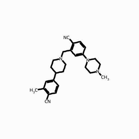 Cc1cc(C2CCN(Cc3cc(N4CCN(C)CC4)ccc3C#N)CC2)ccc1C#N